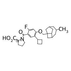 CC1CC2CC3C(C1)CC3(COc1cc(F)c(C(=O)N3CCC[C@H]3C(=O)O)cc1C1CCC1)C2